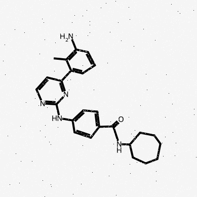 Cc1c(N)cccc1-c1ccnc(Nc2ccc(C(=O)NC3CCCCCC3)cc2)n1